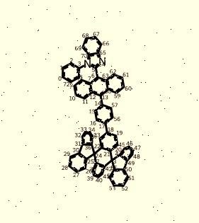 c1ccc(-n2c(-c3c4ccccc4c(-c4ccc(-c5ccc6c(c5)C5(c7ccccc7-c7ccccc75)c5ccccc5C65c6ccccc6-c6ccccc65)cc4)c4ccccc34)nc3ccccc32)cc1